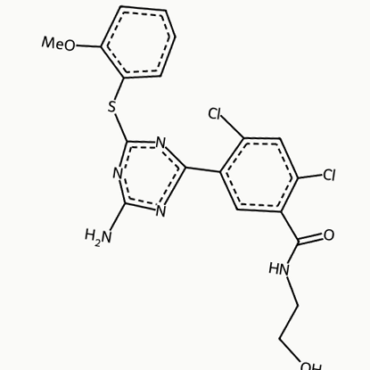 COc1ccccc1Sc1nc(N)nc(-c2cc(C(=O)NCCO)c(Cl)cc2Cl)n1